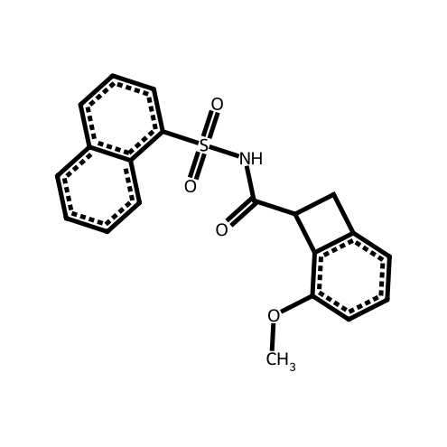 COc1cccc2c1C(C(=O)NS(=O)(=O)c1cccc3ccccc13)C2